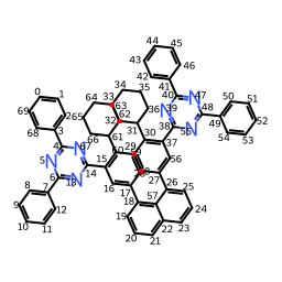 c1ccc(-c2nc(-c3ccccc3)nc(-c3cc(-c4cccc5cccc(-c6ccc(C7CCCCC7)c(-c7nc(-c8ccccc8)nc(-c8ccccc8)n7)c6)c45)ccc3C3CCCCC3)n2)cc1